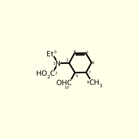 CCN(C(=O)O)C1C=CCC(C)C1C=O